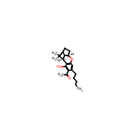 CCCCCc1cc2c(c(O)c1C(C)=O)[C@@H]1C3C(CC[C@H]3O2)C1(C)C